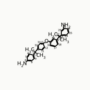 CC(C)(c1ccc(N)cc1)c1ccc(Oc2cccc(C(C)(C)c3cccc(N)c3)c2)cc1